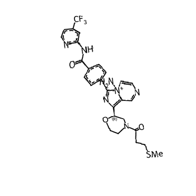 CSCCC(=O)N1CCO[C@@H](C2=C3C=NC=C[N+]3(N)C(c3ccc(C(=O)Nc4cc(C(F)(F)F)ccn4)cc3)=N2)C1